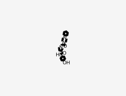 O=C(Nc1ccc(O)cc1)[C@@H]1CCN(CC(=O)N2CCN(c3ccccc3)CC2)C1